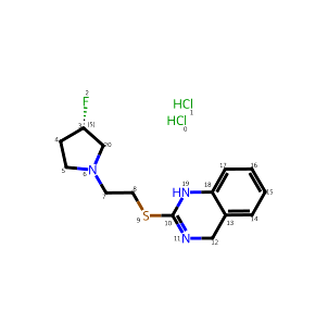 Cl.Cl.F[C@H]1CCN(CCSC2=NCc3ccccc3N2)C1